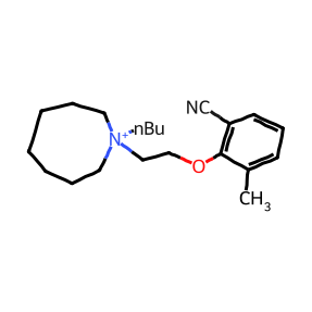 CCCC[N+]1(CCOc2c(C)cccc2C#N)CCCCCCC1